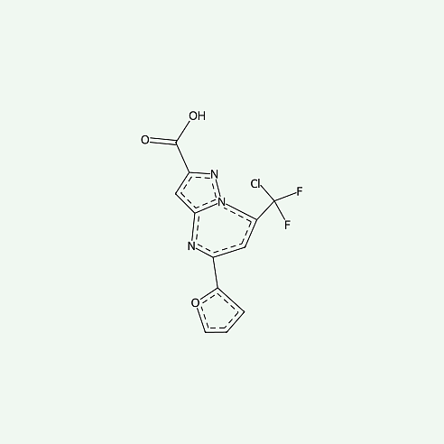 O=C(O)c1cc2nc(-c3ccco3)cc(C(F)(F)Cl)n2n1